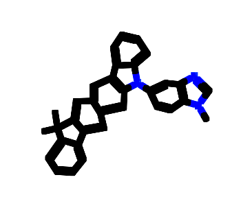 Cn1cnc2cc(-n3c4ccccc4c4cc5cc6c(cc5cc43)-c3ccccc3C6(C)C)ccc21